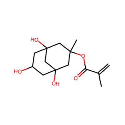 C=C(C)C(=O)OC1(C)CC2(O)CC(O)CC(O)(C2)C1